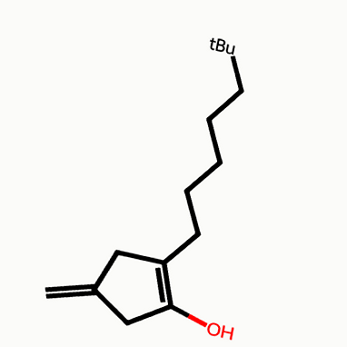 C=C1CC(O)=C(CCCCCC(C)(C)C)C1